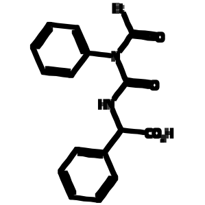 CCC(=O)N(C(=O)NC(C(=O)O)c1ccccc1)c1ccccc1